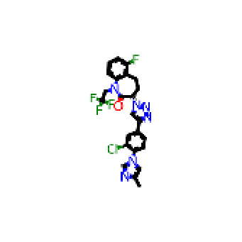 Cc1cn(-c2ccc(-c3cn([C@H]4CCc5c(F)cccc5N(CC(F)(F)F)C4=O)nn3)cc2Cl)cn1